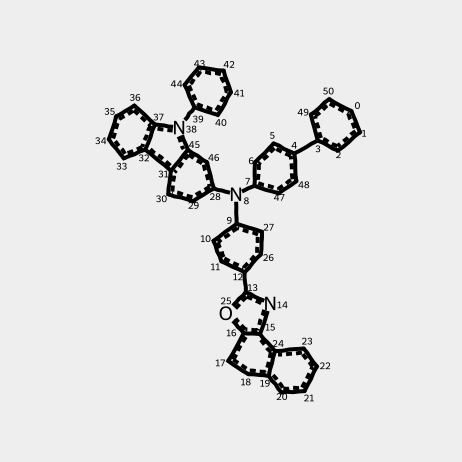 c1ccc(-c2ccc(N(c3ccc(-c4nc5c(ccc6ccccc65)o4)cc3)c3ccc4c5ccccc5n(-c5ccccc5)c4c3)cc2)cc1